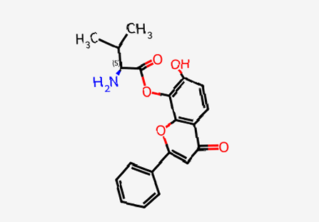 CC(C)[C@H](N)C(=O)Oc1c(O)ccc2c(=O)cc(-c3ccccc3)oc12